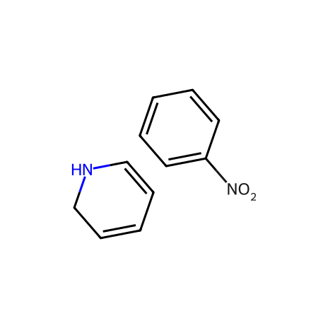 C1=CCNC=C1.O=[N+]([O-])c1ccccc1